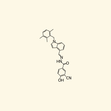 Cc1ccc(C)c(Cn2ccc3c(/C=N/NC(=O)c4ccc(O)c(C#N)c4)cccc32)c1C